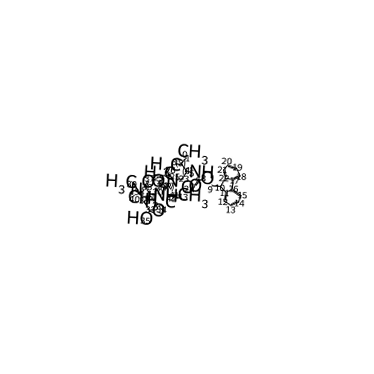 CC[C@H](C)[C@H](NC(=O)OCC1c2ccccc2-c2ccccc21)C(=O)N(C)[C@@H](C(=O)N[C@@H](CC(=O)O)C(=O)N(C)C)C(C)C